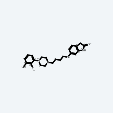 O=C1Cc2ccc(OCCCCN3CCN(c4cccc(Cl)c4Cl)CC3)cc2N1